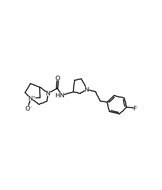 O=C(NC1CCN(CCc2ccc(F)cc2)C1)N1CC[N+]2([O-])CCC1C2